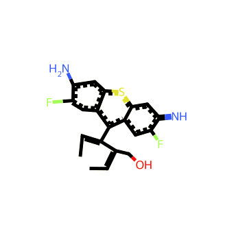 C/C=C(\C(=C/C)CO)c1c2cc(F)c(=N)cc-2sc2cc(N)c(F)cc12